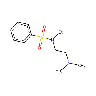 CCN(CCN(C)C)S(=O)(=O)c1[c]cccc1